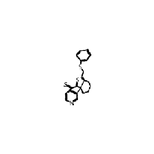 CC(=S)C(=S)C1(c2cccnc2)CCCCC1=CCSc1ccccc1